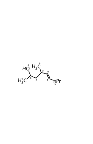 CCC/C=C/C(C)CC(C)O